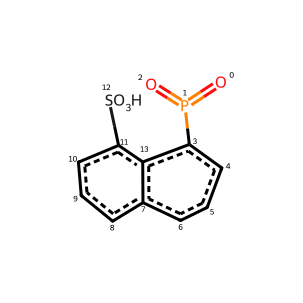 O=P(=O)c1cccc2cccc(S(=O)(=O)O)c12